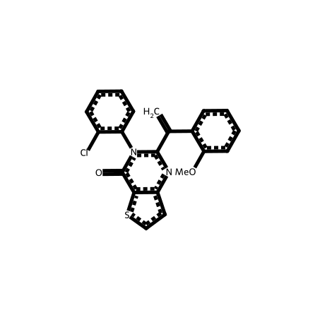 C=C(c1ccccc1OC)c1nc2ccsc2c(=O)n1-c1ccccc1Cl